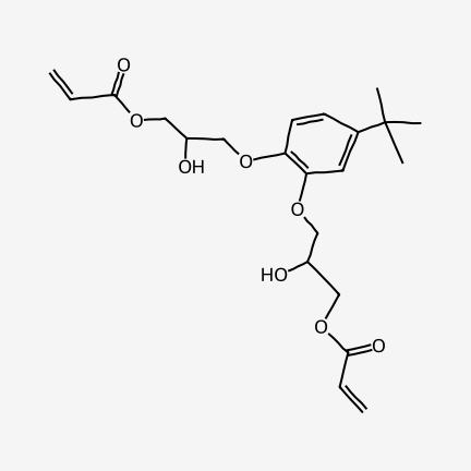 C=CC(=O)OCC(O)COc1ccc(C(C)(C)C)cc1OCC(O)COC(=O)C=C